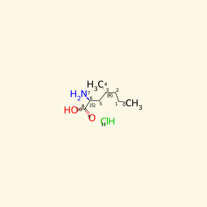 CCC[C@@H](C)C[C@H](N)C(=O)O.Cl